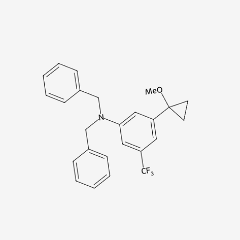 COC1(c2cc(N(Cc3ccccc3)Cc3ccccc3)cc(C(F)(F)F)c2)CC1